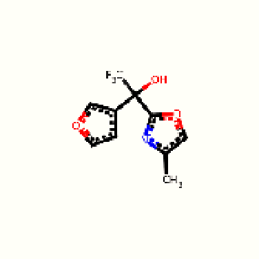 Cc1coc(C(O)(c2ccoc2)C(F)(F)F)n1